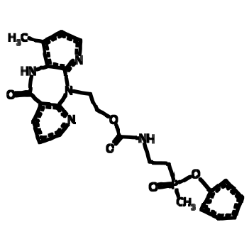 Cc1ccnc2c1NC(=O)c1cccnc1N2CCOC(=O)NCCP(C)(=O)Oc1ccccc1